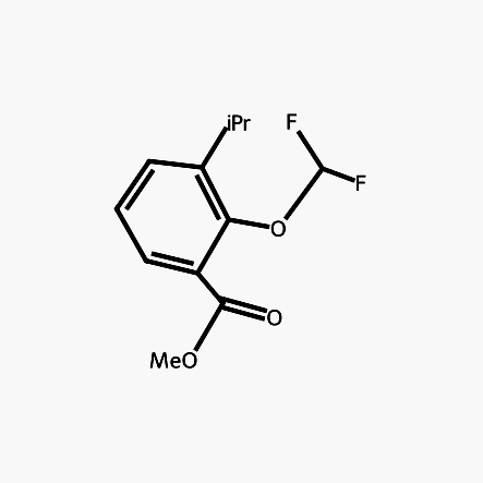 COC(=O)c1cccc(C(C)C)c1OC(F)F